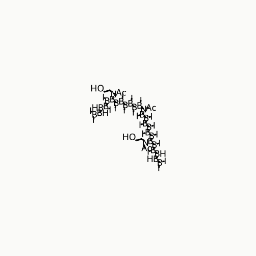 CC(=O)N(CCO)B(B(I)B(I)BBB(I)I)B(I)B(I)B(I)B(I)B(I)B(I)N(B(I)B(I)B(I)B(I)B(I)B(I)B(B(I)B(I)BBB(I)I)N(CCO)C(C)=O)C(C)=O